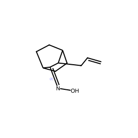 C=CCC1/C(=N\O)C2CCC1CC2